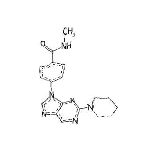 CNC(=O)c1ccc(-n2cnc3cnc(N4CCCCC4)nc32)cc1